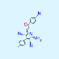 Cc1ccc(-c2c(C#N)c(N)nc(SCC(=O)c3ccc(C#N)cc3)c2C#N)cc1